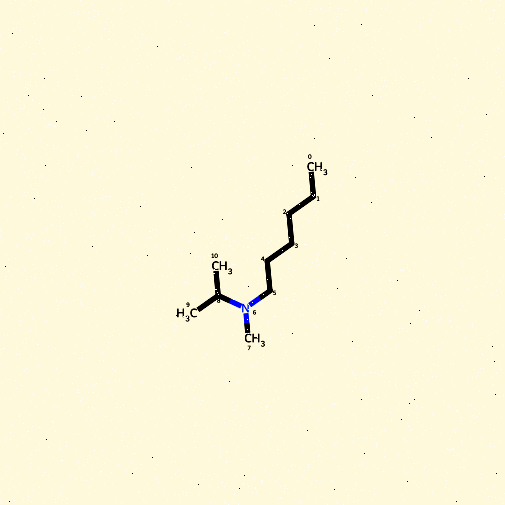 CCCCCCN(C)C(C)C